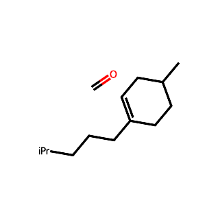 C=O.CC(C)CCCC1=CCC(C)CC1